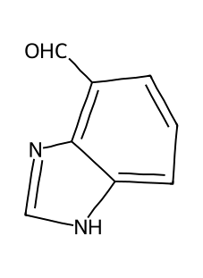 O=Cc1cccc2[nH]cnc12